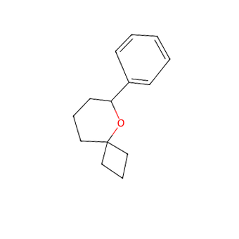 c1ccc(C2CCCC3(CCC3)O2)cc1